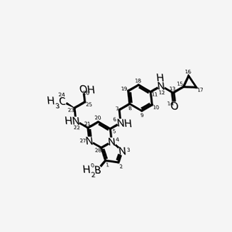 Bc1cnn2c(NCc3ccc(NC(=O)C4CC4)cc3)cc(N[C@@H](C)CO)nc12